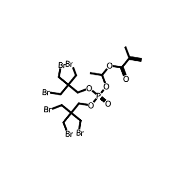 C=C(C)C(=O)OC(C)OP(=O)(OCC(CBr)(CBr)CBr)OCC(CBr)(CBr)CBr